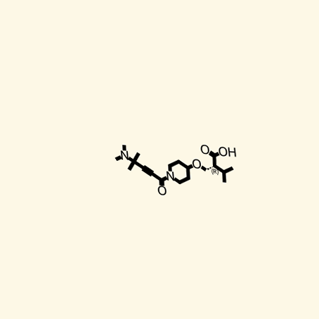 CC(C)[C@H](COC1CCN(C(=O)C#CC(C)(C)N(C)C)CC1)C(=O)O